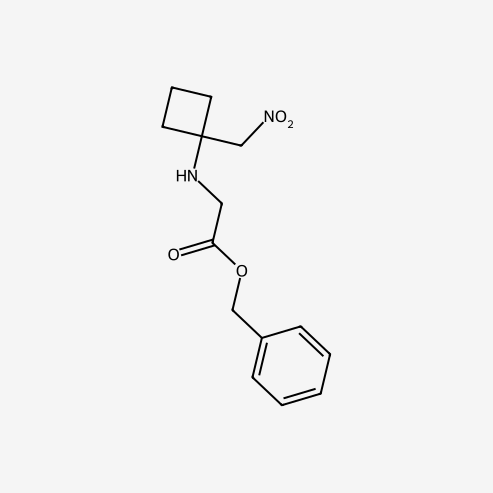 O=C(CNC1(C[N+](=O)[O-])CCC1)OCc1ccccc1